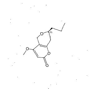 CCC[C@H]1Cc2oc(=O)cc(OC)c2CO1